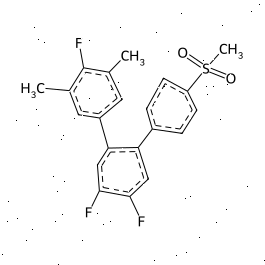 Cc1cc(-c2cc(F)c(F)cc2-c2ccc(S(C)(=O)=O)cc2)cc(C)c1F